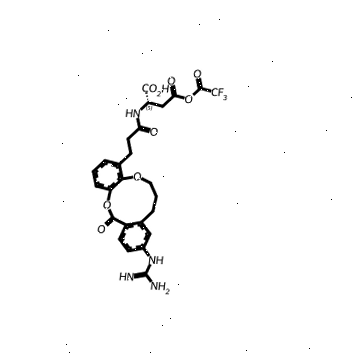 N=C(N)Nc1ccc2c(c1)CCCOc1c(CCC(=O)N[C@@H](CC(=O)OC(=O)C(F)(F)F)C(=O)O)cccc1OC2=O